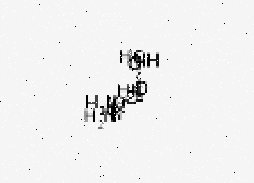 CCc1nc(N)nc(N)c1OCCCOc1ccccc1NC(=O)CCCCCCC(=O)NO